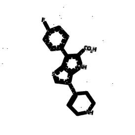 O=C(O)c1[nH]c2c(C3=CCNCC3)csc2c1-c1ccc(F)cc1